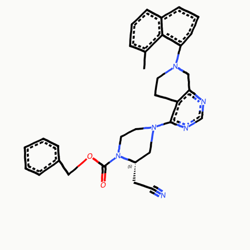 Cc1cccc2cccc(N3CCc4c(ncnc4N4CCN(C(=O)OCc5ccccc5)[C@@H](CC#N)C4)C3)c12